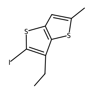 CCc1c(I)sc2cc(C)sc12